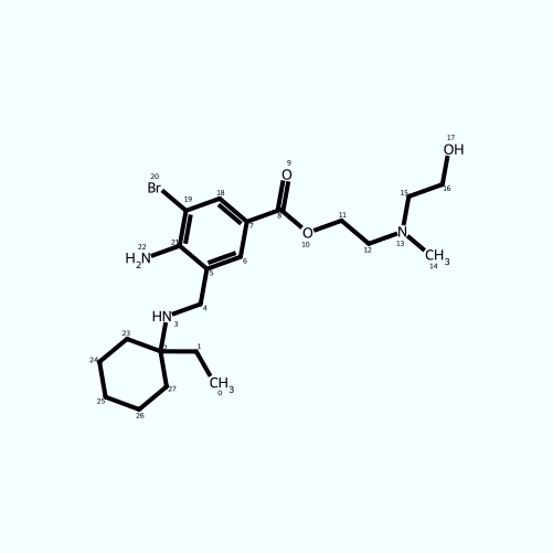 CCC1(NCc2cc(C(=O)OCCN(C)CCO)cc(Br)c2N)CCCCC1